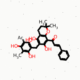 CC(=O)c1c(O)c(C)c(O)c(Cc2c(O)c3c(c(C(=O)/C=C/c4ccccc4)c2O)OC(C)(C)CC3)c1O